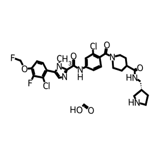 Cn1c(-c2ccc(OCF)c(F)c2Cl)cnc1C(=O)Nc1ccc(C(=O)N2CCC(C(=O)NC[C@@H]3CCNC3)CC2)c(Cl)c1.O=CO